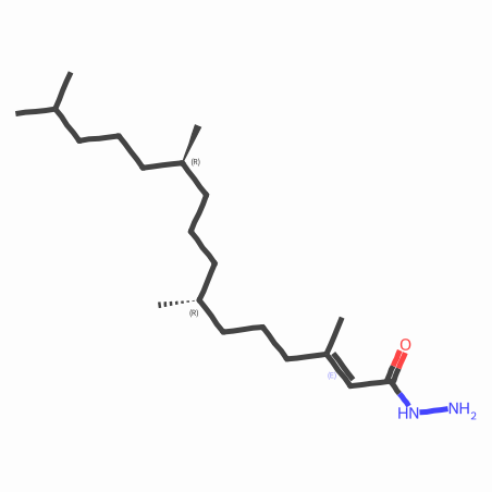 C/C(=C\C(=O)NN)CCC[C@H](C)CCC[C@H](C)CCCC(C)C